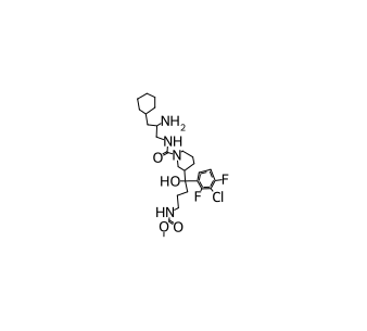 COC(=O)NCCCC(O)(c1ccc(F)c(Cl)c1F)C1CCCN(C(=O)NCC(N)CC2CCCCC2)C1